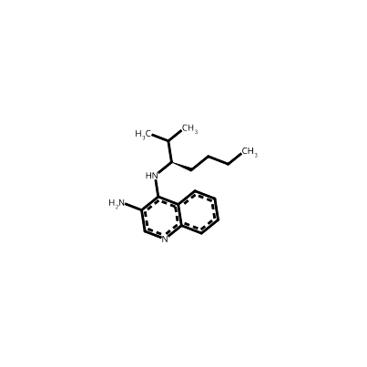 CCCC[C@@H](Nc1c(N)cnc2ccccc12)C(C)C